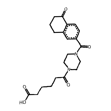 O=C(O)CCCCC(=O)N1CCN(C(=O)c2ccc3c(c2)CCCC3=O)CC1